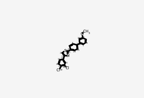 COc1cccc(-c2ccc(-c3nc(-c4ccc(Cl)c(Cl)c4)cs3)cc2)c1